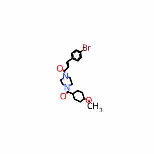 COC1CCC(C(=O)N2CCN(C(=O)/C=C/c3ccc(Br)cc3)CC2)CC1